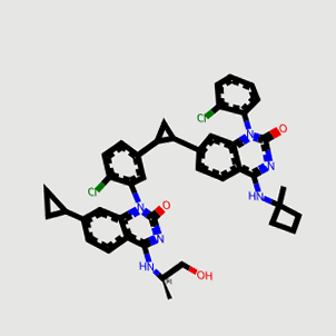 C[C@H](CO)Nc1nc(=O)n(-c2cc(C3CC3c3ccc4c(NC5(C)CCC5)nc(=O)n(-c5ccccc5Cl)c4c3)ccc2Cl)c2cc(C3CC3)ccc12